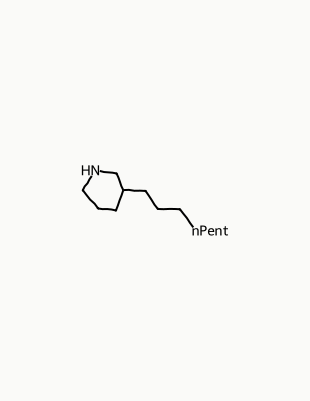 CCCCCCCCC1CCCNC1